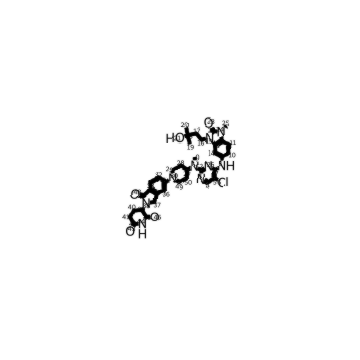 CN(c1ncc(Cl)c(Nc2ccc3c(c2)n(CCC(C)(C)O)c(=O)n3C)n1)C1CCN(c2ccc3c(c2)CN(C2CCC(=O)NC2=O)C3=O)CC1